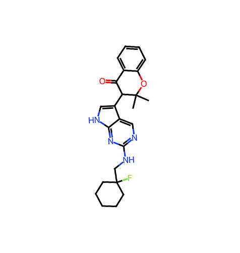 CC1(C)Oc2ccccc2C(=O)C1c1c[nH]c2nc(NCC3(F)CCCCC3)ncc12